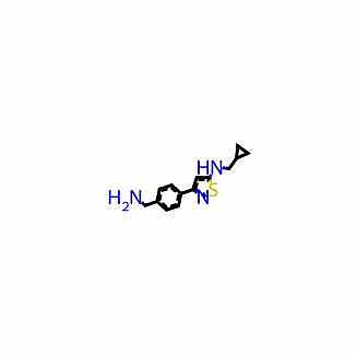 NCc1ccc(-c2cc(NCC3CC3)sn2)cc1